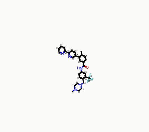 Cc1ccc(C(=O)Nc2ccc(CN3CCN(C)CC3)c(C(F)(F)F)c2)cc1-c1ccc(-c2ccccn2)nc1